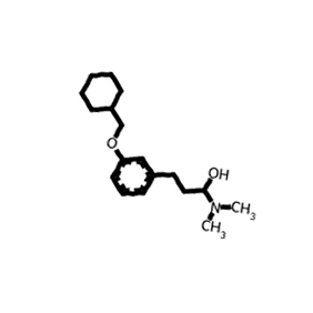 CN(C)C(O)CCc1cccc(OCC2CCCCC2)c1